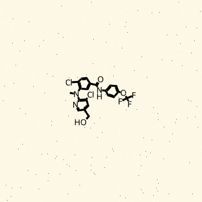 CN(c1cc(C(=O)Nc2ccc(OC(F)(F)F)cc2)ccc1Cl)c1ncc(CO)cc1Cl